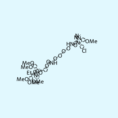 CC[C@H](C(=O)N1CCCC[C@H]1C(=O)O[C@H](CCc1ccc(OC)c(OC)c1)c1cccc(OCC(=O)NCCOCCOCCOCCOCCNC(=O)C[C@@H]2N=C(c3ccc(Cl)cc3)c3cc(OC)ccc3-n3c(C)nnc32)c1)c1cc(OC)c(OC)c(OC)c1